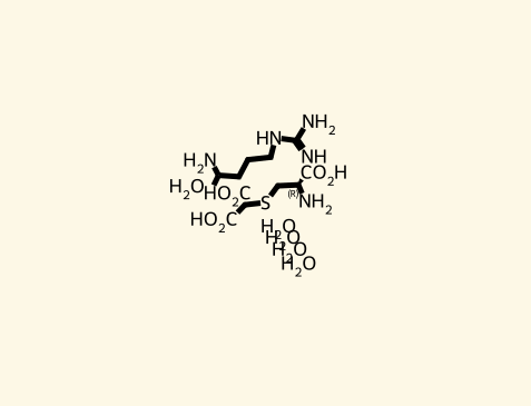 N=C(N)NCCCC(N)C(=O)O.N[C@@H](CSCC(=O)O)C(=O)O.O.O.O.O.O